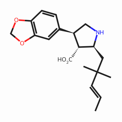 C/C=C/C(C)(C)C[C@@H]1NC[C@H](c2ccc3c(c2)OCO3)[C@H]1C(=O)O